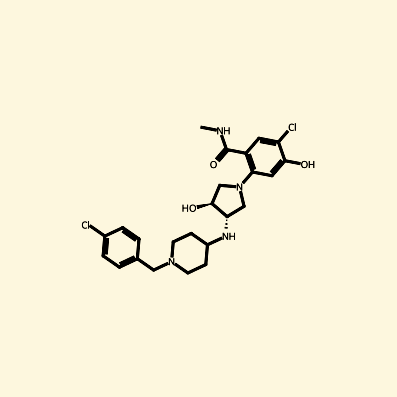 CNC(=O)c1cc(Cl)c(O)cc1N1C[C@H](NC2CCN(Cc3ccc(Cl)cc3)CC2)[C@@H](O)C1